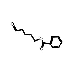 O=CCCCCOC(=O)c1ccccc1